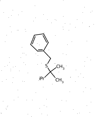 CC(C)C(C)(C)SCc1ccccc1